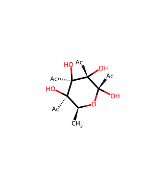 CC(=O)[C@]1(O)[C@@](O)(C(C)=O)[C@@](O)(C(C)=O)O[C@@H](C)[C@]1(O)C(C)=O